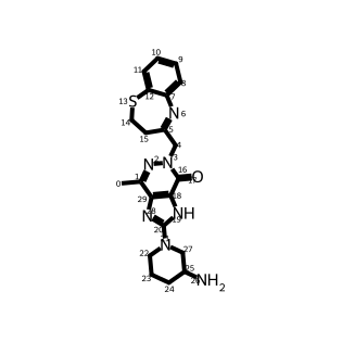 Cc1nn(CC2=Nc3ccccc3SCC2)c(=O)c2[nH]c(N3CCCC(N)C3)nc12